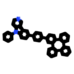 c1ccc(-n2c3ccncc3c3cc(-c4ccc(-c5ccc6c(c5)-c5ccccc5-c5ccccc5-c5ccccc5-6)cc4)ccc32)cc1